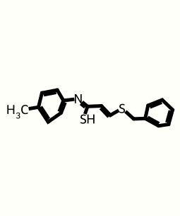 Cc1ccc(N=C(S)C=CSCc2ccccc2)cc1